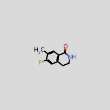 Cc1cc2c(cc1F)CCNC2=O